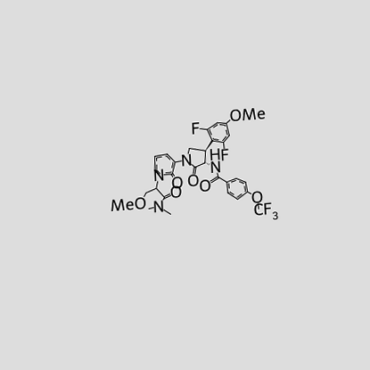 COCC(C(=O)N(C)C)n1cccc(N2C[C@@H](c3c(F)cc(OC)cc3F)[C@H](NC(=O)c3ccc(OC(F)(F)F)cc3)C2=O)c1=O